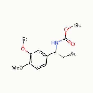 CCOc1cc([C@@H](CC(C)=O)NC(=O)OC(C)(C)C)ccc1OC